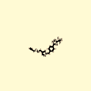 C#CCO/N=C/c1cnn(Cc2ccc(-c3noc(C(F)(F)F)n3)cc2)c1